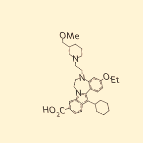 CCOc1ccc2c(c1)N(CCN1CCCC(COC)C1)CCn1c-2c(C2CCCCC2)c2ccc(C(=O)O)cc21